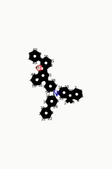 CC1(C)c2ccccc2-c2ccc(N(c3ccc(-c4ccccc4)cc3)c3ccc(-c4cc5c6cccc(-c7ccccc7)c6oc5c5ccccc45)cc3)cc21